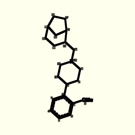 COc1ccccc1C1CCN(CC2CCC3CCC2C3)CC1